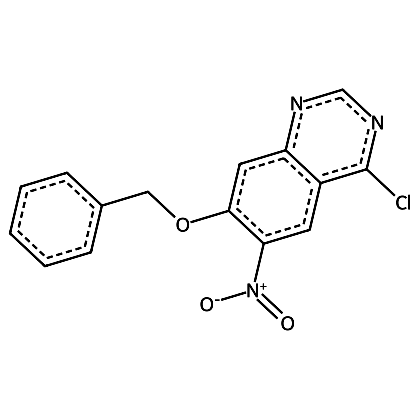 O=[N+]([O-])c1cc2c(Cl)ncnc2cc1OCc1ccccc1